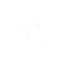 C=C1C[C@@H]2CC[C@@]34C[C@H]5OC6[C@@H](O[C@H]7CCC(CC(=O)C[C@@H]8[C@@H](OC)[C@@H](C[C@H](O)CNC(=O)COC)O[C@H]8C[C@H]8O[C@@H](CC[C@@H]1O2)C[C@@H](C)C8=C)O[C@@H]7[C@@H]6O3)C5O4